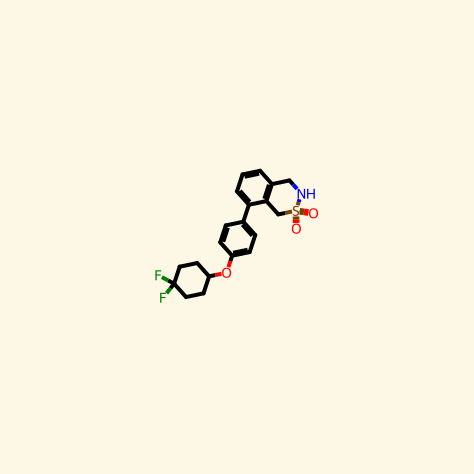 O=S1(=O)Cc2c(cccc2-c2ccc(OC3CCC(F)(F)CC3)cc2)CN1